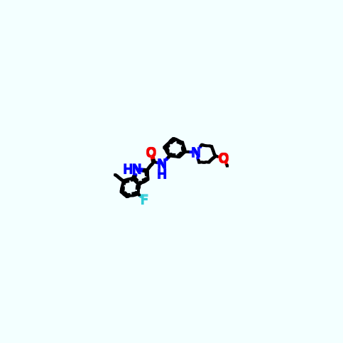 COC1CCN(c2cccc(NC(=O)c3cc4c(F)ccc(C)c4[nH]3)c2)CC1